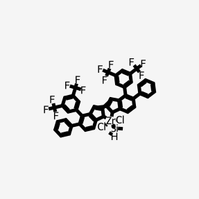 CC1=Cc2c(ccc(-c3ccccc3)c2-c2cc(C(F)(F)F)cc(C(F)(F)F)c2)[CH]1[Zr]([Cl])([Cl])([CH]1C(C)=Cc2c1ccc(-c1ccccc1)c2-c1cc(C(F)(F)F)cc(C(F)(F)F)c1)[SiH](C)C